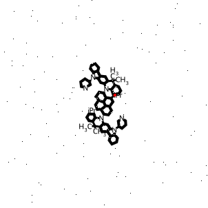 CC(C)c1cc2ccc(N3c4ccccc4C(C)(C)c4cc5c6ccccc6n(-c6cccnc6)c5cc43)c3c(C(C)C)cc4ccc(N5c6ccccc6C(C)(C)c6cc7c8ccccc8n(-c8cccnc8)c7cc65)c1c4c23